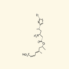 CCc1nc(C(C)CC(N)CC(=O)OC(C)C/C(C)=C/C=C\C(=O)O)cs1